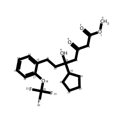 COC(=O)CC(=O)CC(O)(CCc1ccccc1OC(F)(F)F)C1CCCC1